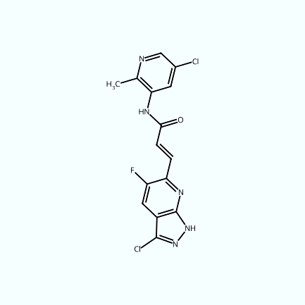 Cc1ncc(Cl)cc1NC(=O)/C=C/c1nc2[nH]nc(Cl)c2cc1F